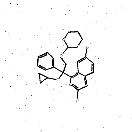 Clc1cc2ccc(Br)cc2c(C(COC2CCCCO2)(OC2CC2)c2ccccc2)n1